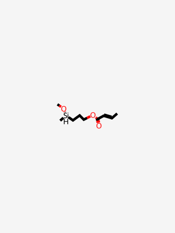 CC=CC(=O)OCCC[SiH](C)OC